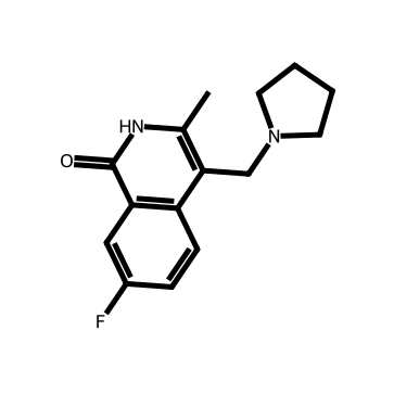 Cc1[nH]c(=O)c2cc(F)ccc2c1CN1CCCC1